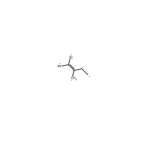 CCC(=C(C)CF)C(C)C